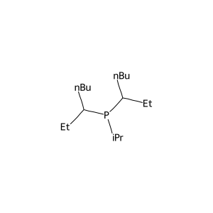 CCCCC(CC)P(C(C)C)C(CC)CCCC